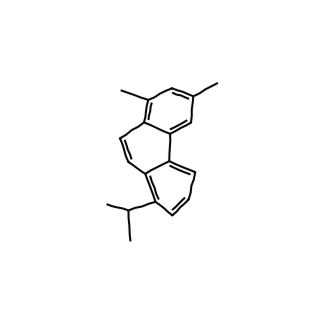 Cc1cc(C)c2ccc3c(C(C)C)cccc3c2c1